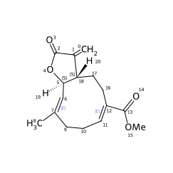 C=C1C(=O)O[C@@H]2/C=C(\C)CC/C=C(/C(=O)OC)CC[C@@H]12